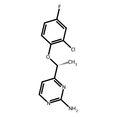 C[C@@H](Oc1ccc(F)cc1Cl)c1ccnc(N)n1